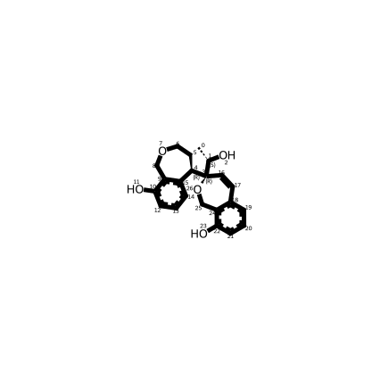 C[C@H](O)[C@]1([C@@H]2CCOCc3c(O)cccc32)C=Cc2cccc(O)c2CO1